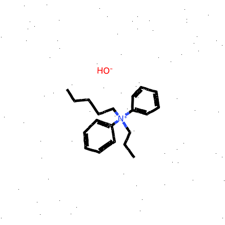 CCCCC[N+](CCC)(c1ccccc1)c1ccccc1.[OH-]